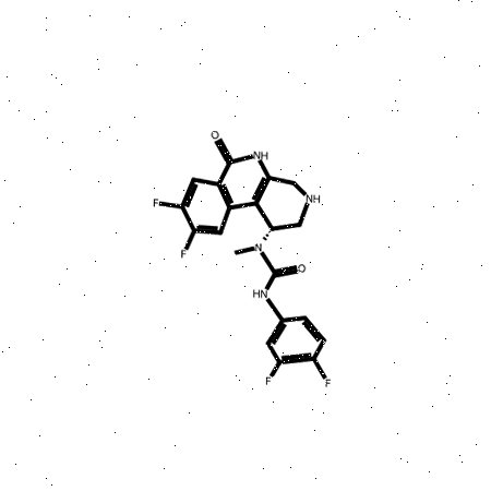 CN(C(=O)Nc1ccc(F)c(F)c1)[C@H]1CNCc2[nH]c(=O)c3cc(F)c(F)cc3c21